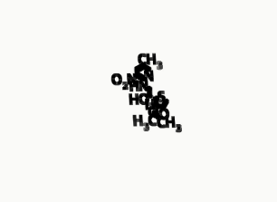 Cc1cnc(NCC(O)[C@@H]2SCC3OC(C)(C)O[C@@H]32)c([N+](=O)[O-])c1